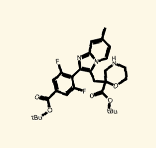 Cc1ccn2c(CC3(C(=O)OC(C)(C)C)CNCCO3)c(-c3c(F)cc(C(=O)OC(C)(C)C)cc3F)nc2c1